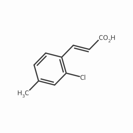 Cc1ccc(C=CC(=O)O)c(Cl)c1